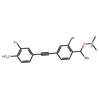 CCc1cc(C#Cc2ccc(C(O[SiH](C)C)C(C)(C)C)c(C(C)C)c2)ccc1C(=O)O